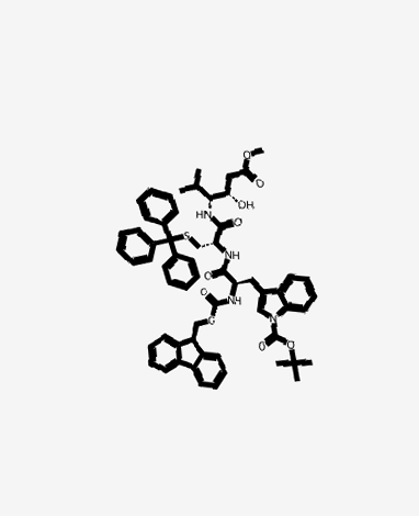 COC(=O)C[C@H](O)[C@H](NC(=O)[C@@H](CSC(c1ccccc1)(c1ccccc1)c1ccccc1)NC(=O)[C@@H](Cc1cn(C(=O)OC(C)(C)C)c2ccccc12)NC(=O)OCC1c2ccccc2-c2ccccc21)C(C)C